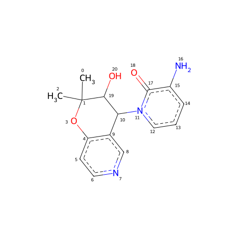 CC1(C)Oc2ccncc2C(n2cccc(N)c2=O)C1O